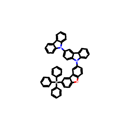 c1ccc([Si](c2ccccc2)(c2ccccc2)c2ccc3oc4ccc(-n5c6ccccc6c6cc(-n7c8ccccc8c8ccccc87)ccc65)cc4c3c2)cc1